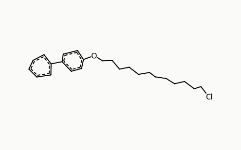 ClCCCCCCCCCCCCOc1ccc(-c2ccccc2)cc1